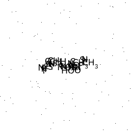 Cc1ncsc1-c1ccc(CNC(=O)[C@@H]2C[C@@H](O)CN2C(=O)[C@H](C(C)C)n2cc(OC3CCN(c4ccc(-c5ccc(N6C(=S)N(c7ccc(C#N)c(C(F)(F)F)c7)C(=O)C6(C)C)cc5)cn4)CC3)cn2)cc1